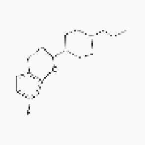 CCCC1CCC(C2CCc3ccc(F)cc3O2)CC1